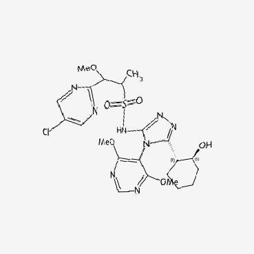 COc1ncnc(OC)c1-n1c(NS(=O)(=O)C(C)C(OC)c2ncc(Cl)cn2)nnc1[C@H]1CCCC[C@@H]1O